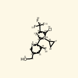 OCc1cnc(-c2nc(C(F)(F)F)c(Cl)n2C2CC2)c(F)c1